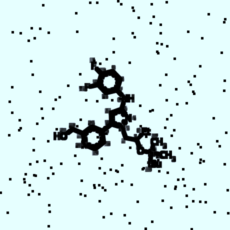 CC[C@H](Cn1nc(Nc2ccc(F)c(F)c2)cc1-c1ccnc(CO)c1)O[Si](C)(C)C(C)(C)C